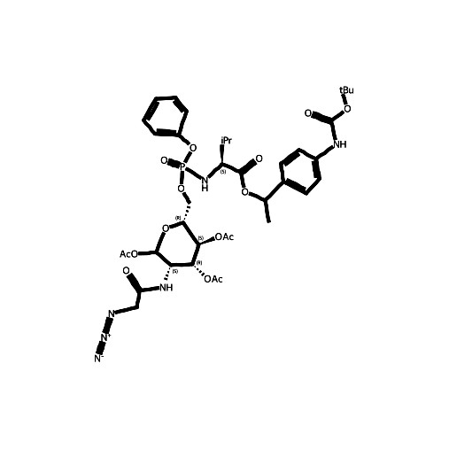 CC(=O)OC1O[C@H](COP(=O)(N[C@H](C(=O)OC(C)c2ccc(NC(=O)OC(C)(C)C)cc2)C(C)C)Oc2ccccc2)[C@@H](OC(C)=O)[C@H](OC(C)=O)[C@@H]1NC(=O)CN=[N+]=[N-]